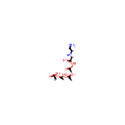 CC(=O)O.CC(=O)O.CC(=O)O.CC(=O)O.NCCNCC(O)O